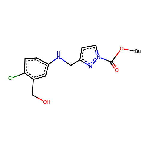 CC(C)(C)OC(=O)n1ccc(CNc2ccc(Cl)c(CO)c2)n1